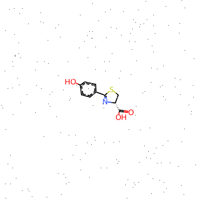 O=C(O)[C@H]1CSC(c2ccc(O)cc2)=N1